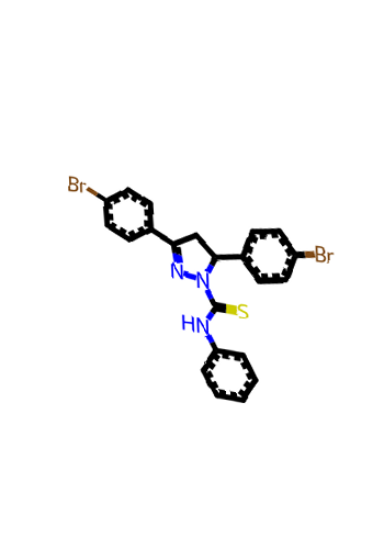 S=C(Nc1ccccc1)N1N=C(c2ccc(Br)cc2)CC1c1ccc(Br)cc1